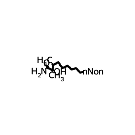 CCCCCCCCCCCCCCCC(C)C(C)(O)C(N)=O